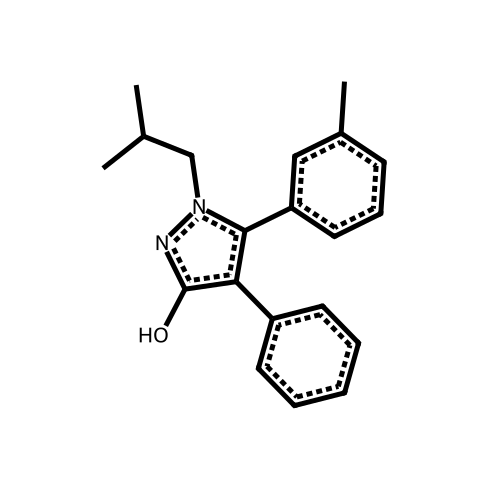 Cc1cccc(-c2c(-c3ccccc3)c(O)nn2CC(C)C)c1